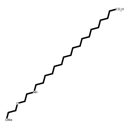 COCCOCCNCCCCCCCCCCCCCCCCCC(=O)O